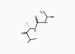 CC(C)C(=O)[C@H](C)NC(=O)N[C@H](C)N